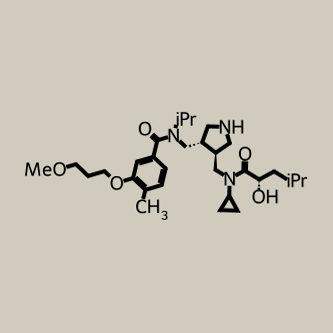 COCCCOc1cc(C(=O)N(C[C@@H]2CNC[C@H]2CN(C(=O)[C@@H](O)CC(C)C)C2CC2)C(C)C)ccc1C